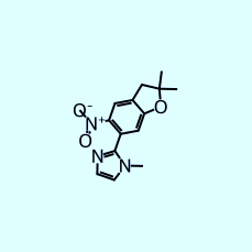 Cn1ccnc1-c1cc2c(cc1[N+](=O)[O-])CC(C)(C)O2